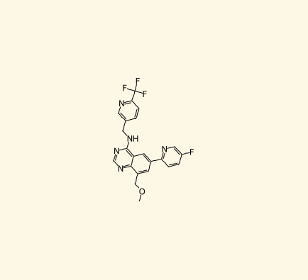 COCc1cc(-c2ccc(F)cn2)cc2c(NCc3ccc(C(F)(F)F)nc3)ncnc12